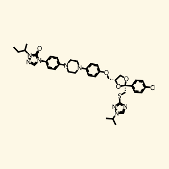 CCC(C)n1ncn(-c2ccc(N3CCN(c4ccc(OC[C@@H]5CO[C@@](CSc6ncn(C(C)C)n6)(c6ccc(Cl)cc6)O5)cc4)CC3)cc2)c1=O